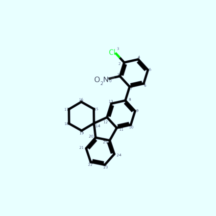 O=[N+]([O-])c1c(Cl)cccc1-c1ccc2c(c1)C1(CCCCC1)c1ccccc1-2